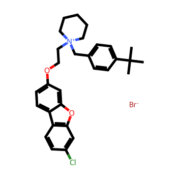 CC(C)(C)c1ccc(C[N+]2(CCOc3ccc4c(c3)oc3cc(Cl)ccc34)CCCCC2)cc1.[Br-]